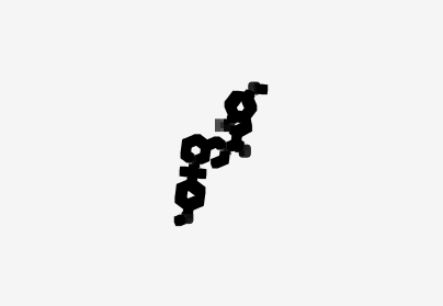 CCN(CC1CCCN(C(C)(C)c2ccc(OC)cc2)C1)C(=O)c1cc2cc(OC)ccc2[nH]1